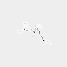 C=CCCCN(C)C(=O)OCC(C)C